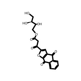 O=C(CC(=O)c1cc2c(o1)C(=O)c1ccccc1C2=O)OC[C@H](O)[C@@H](O)CO